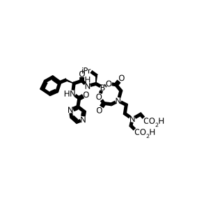 CC(C)C[C@H](NC(=O)[C@H](Cc1ccccc1)NC(=O)c1cnccn1)B1OC(=O)CN(CCN(CC(=O)O)CC(=O)O)CC(=O)O1